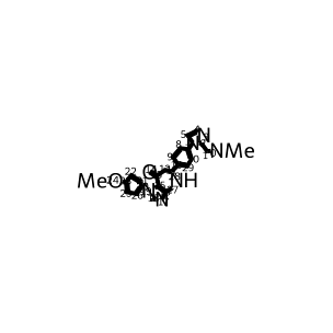 CNCc1nccn1-c1ccc(C2CC(=O)c3c(ncn3-c3ccc(OC)cc3)CN2)cc1